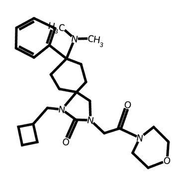 CN(C)C1(c2ccccc2)CCC2(CC1)CN(CC(=O)N1CCOCC1)C(=O)N2CC1CCC1